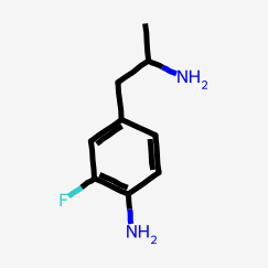 CC(N)Cc1ccc(N)c(F)c1